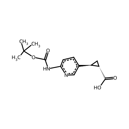 CC(C)(C)OC(=O)Nc1ccc([C@H]2C[C@@H]2C(=O)O)cn1